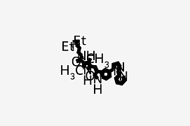 CCN(CC)CCNC(=O)c1c(C)[nH]c(/C=C2\C(=O)Nc3ccc(-c4ccnn4-c4ccccn4)cc32)c1C